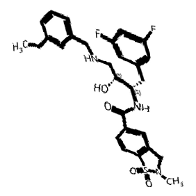 CCc1cccc(CNC[C@@H](O)[C@H](Cc2cc(F)cc(F)c2)NC(=O)c2ccc3c(c2)CN(C)S3(=O)=O)c1